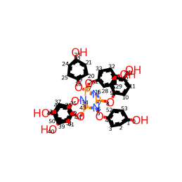 Oc1ccc(ON2P(Oc3ccc(O)cc3)N=P(Oc3ccc(O)cc3)(Oc3ccc(O)cc3)N(Oc3ccc(O)cc3)P2Oc2ccc(O)cc2)cc1